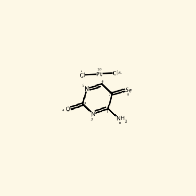 NC1=NC(=O)N=CC1=[Se].[Cl][Pt][Cl]